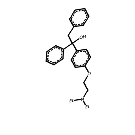 CCN(CC)CCOc1ccc(C(O)(Cc2ccccc2)c2ccccc2)cc1